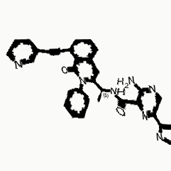 C[C@H](NC(=O)c1nc(C2=CCC=N2)cnc1N)c1cc2cccc(C#Cc3cccnc3)c2c(=O)n1-c1ccccc1